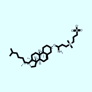 CC(C)CCC[C@@H](C)[C@H]1CC[C@H]2[C@@H]3CC=C4C[C@@H](OC(N)CC[N+](C)(C)CCCS(=O)(=O)[O-])CC[C@]4(C)[C@H]3CC[C@]12C